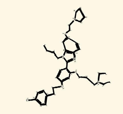 CCCCn1c(-c2ccc(OCCc3ccc(Cl)cc3)cc2OCCCN(CC)CC)nc2ccc(OCCN3CCCC3)cc21